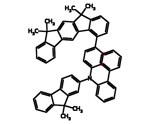 CC1(C)c2ccccc2-c2ccc(N(c3ccc(-c4cccc5c4-c4cc6c(cc4C5(C)C)C(C)(C)c4ccccc4-6)cc3)c3ccccc3-c3ccccc3)cc21